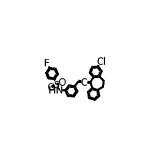 O=S(=O)(Nc1cccc(C=C=C2c3ccccc3CCc3cc(Cl)ccc32)c1)c1ccc(F)cc1